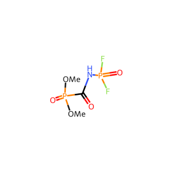 COP(=O)(OC)C(=O)NP(=O)(F)F